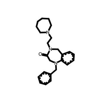 O=C1CN(Cc2ccccc2)c2ccccc2CN1CCN1CCCCCC1